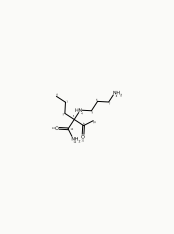 CCCC(NCCCN)(C(C)=O)C(N)=O